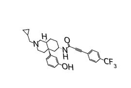 O=C(C#Cc1ccc(C(F)(F)F)cc1)N[C@H]1CC[C@@H]2CN(CC3CC3)CC[C@@]2(c2cccc(O)c2)C1